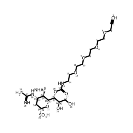 C#CCOCCOCCOCCOCCNC(=O)O[C@@H]([C@@H]1O[C@H](S(=O)(=O)O)C[C@H](NC(=N)N)[C@H]1NC(C)=O)[C@H](O)CO